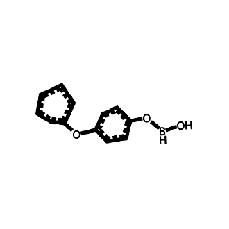 OBOc1ccc(Oc2ccccc2)cc1